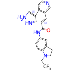 N=C/C(=C\N)c1ccncc1/C=C/C(=O)Nc1ccc2c(c1)CCN2CC(F)(F)F